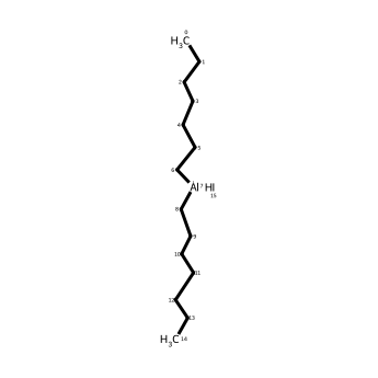 CCCCCC[CH2][Al][CH2]CCCCCC.I